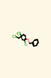 ClCC1(Cl)C=CC(OCc2ccccc2)=C(Cl)C1